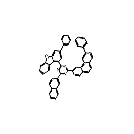 c1ccc(-c2cc(-c3nc(-c4ccc5ccccc5c4)nc(-c4ccc5ccc6ccc(-c7ccccc7)cc6c5c4)n3)c3c(c2)oc2ccccc23)cc1